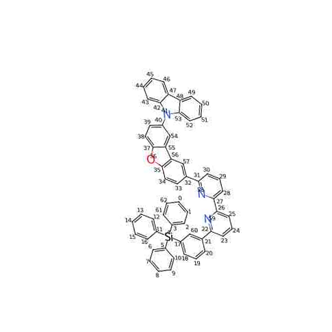 c1ccc([Si](c2ccccc2)(c2ccccc2)c2cccc(-c3cccc(-c4cccc(-c5ccc6oc7ccc(-n8c9ccccc9c9ccccc98)cc7c6c5)n4)n3)c2)cc1